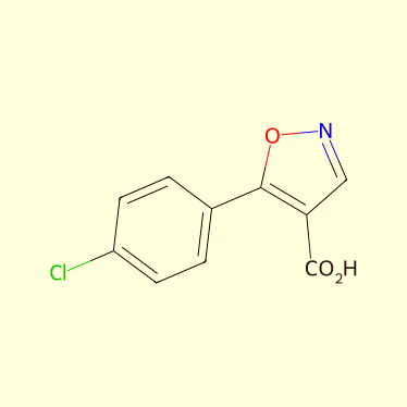 O=C(O)c1cnoc1-c1ccc(Cl)cc1